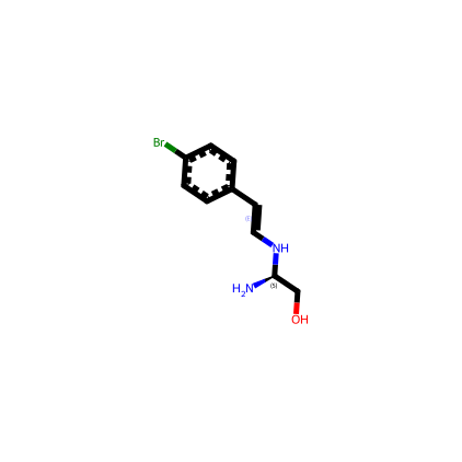 N[C@H](CO)N/C=C/c1ccc(Br)cc1